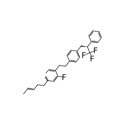 C=C(/C=C(F)\C(=C/C)CCc1ccc(C[C@@H](c2ccccc2)C(F)(F)F)cc1)CC/C=C/C